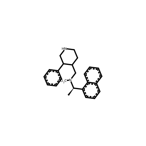 C[C@H](c1cccc2ccccc12)N(CC1CCNCC1c1ccccc1)C(=O)O